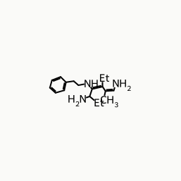 CCC(/C(C)=C\N)=C(\NCCc1ccccc1)C(N)CC